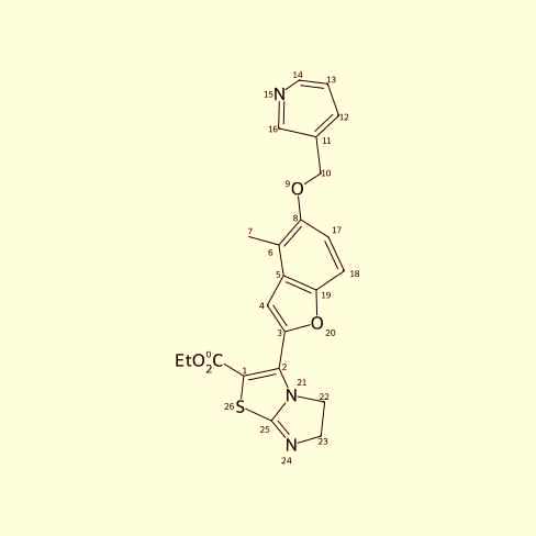 CCOC(=O)C1=C(c2cc3c(C)c(OCc4cccnc4)ccc3o2)N2CCN=C2S1